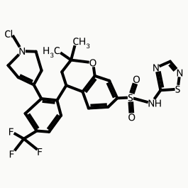 CC1(C)CC(c2ccc(C(F)(F)F)cc2C2=CCN(Cl)CC2)c2ccc(S(=O)(=O)Nc3ncns3)cc2O1